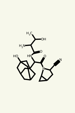 CC(O)C(N)C(=O)NC(C(=O)N1C(C#N)CC2CC21)C12CC3CC(CC(O)(C3)C1)C2